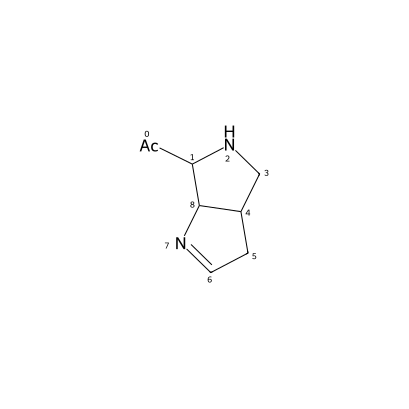 CC(=O)C1NCC2CC=NC21